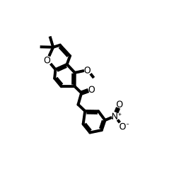 COc1c(C(=O)Cc2cccc([N+](=O)[O-])c2)ccc2c1C=CC(C)(C)O2